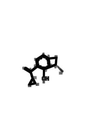 C=C(c1ccc2c(c1O)[C@@H](C)C2)C1CC1